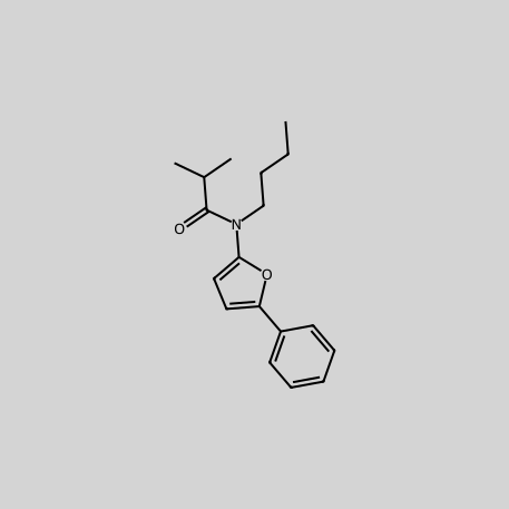 CCCCN(C(=O)C(C)C)c1ccc(-c2ccccc2)o1